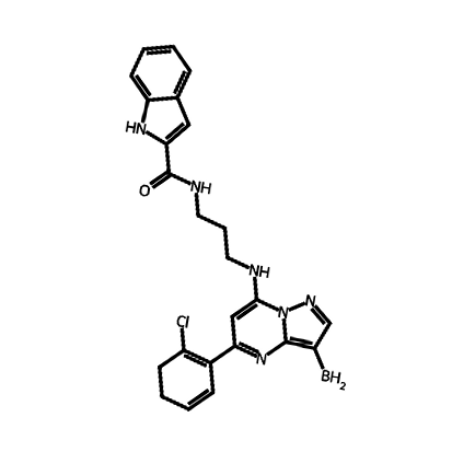 Bc1cnn2c(NCCCNC(=O)c3cc4ccccc4[nH]3)cc(C3=C(Cl)CCC=C3)nc12